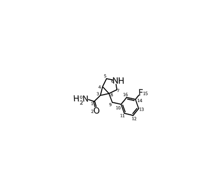 NC(=O)C1C2CNCC21Cc1cccc(F)c1